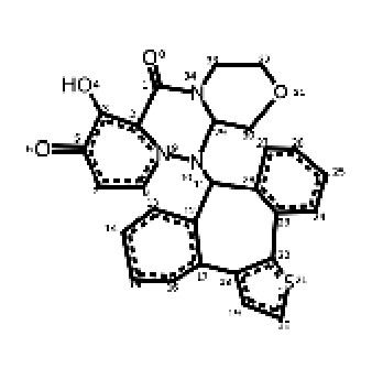 O=C1c2c(O)c(=O)ccn2N(C2c3ccccc3-c3ccsc3-c3ccccc32)C2COCCN12